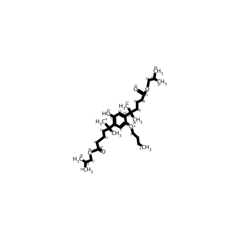 CCCCOc1cc(C(C)(C)CCCC(=O)OCC(C)C)c(O)cc1C(C)(C)CCCC(=O)OCC(C)C